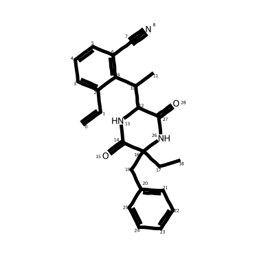 C=Cc1cccc(C#N)c1C(C)C1NC(=O)C(CC)(Cc2ccccc2)NC1=O